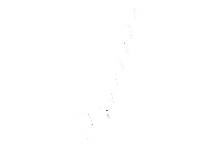 CCCCCCCCCCCCCCCCCCCCCC(=O)OC(CO)COCCCCCCCC